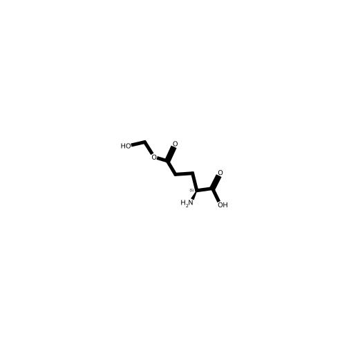 N[C@@H](CCC(=O)OCO)C(=O)O